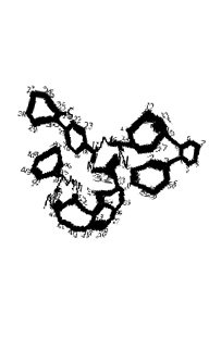 c1ccc(-c2ccccc2-c2cccc(-c3nc(-c4ccc5c(c4)sc4ccccc45)nc(-c4ccc5ccc6ccc7nn(-c8ccccc8)nc7c6c5c4)n3)c2)cc1